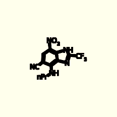 CCCNc1c(C#N)cc([N+](=O)[O-])c2[nH]c(C(F)(F)F)nc12